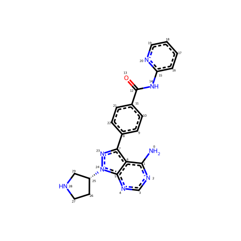 Nc1ncnc2c1c(-c1ccc(C(=O)Nc3ccccn3)cc1)nn2[C@@H]1CCNC1